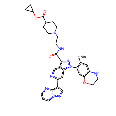 COc1cc2c(cc1-n1nc(C(=O)NCCN3CCC(C(=O)OC4CC4)CC3)c3cnc(-c4cnn5cccnc45)cc31)OCCN2